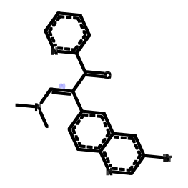 CN(C)/C=C(/C(=O)c1ccccn1)c1ccc2ncc(Br)cc2c1